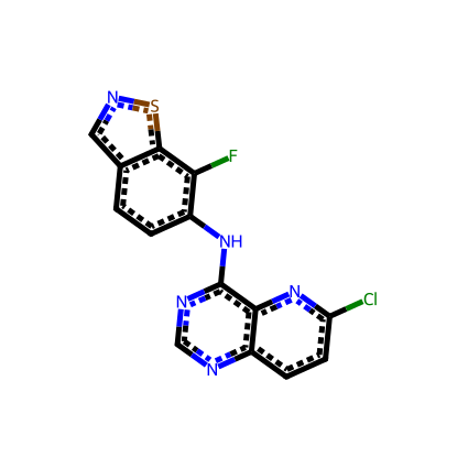 Fc1c(Nc2ncnc3ccc(Cl)nc23)ccc2cnsc12